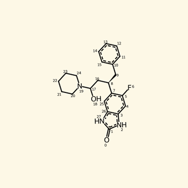 O=c1[nH]c2cc(F)c([C@H](Cc3ccccc3)CC(O)N3CCCCC3)cc2[nH]1